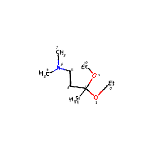 CCOC([SiH3])(CCN(C)C)OCC